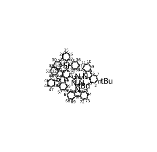 CC(C)(C)c1cc(C(C)(C)C)c2c(c1)c1ccccc1n2-c1nc(-c2cc([Si](c3ccccc3)(c3ccccc3)c3ccccc3)cc([Si](c3ccccc3)(c3ccccc3)c3ccccc3)c2)nc(-n2c3ccccc3c3ccccc32)n1